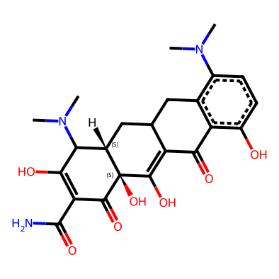 CN(C)c1ccc(O)c2c1CC1C[C@H]3C(N(C)C)C(O)=C(C(N)=O)C(=O)[C@@]3(O)C(O)=C1C2=O